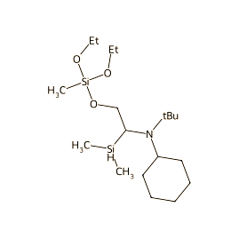 CCO[Si](C)(OCC)OCC(N(C1CCCCC1)C(C)(C)C)[SiH](C)C